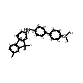 Cc1ccc2c(c1)C(C)(C)c1cc(Nc3ccc(-c4ccc([SiH](C)C)cc4)cc3)ccc1-2